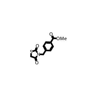 COC(=O)c1ccc(CN2C(=O)CSC2=O)cc1